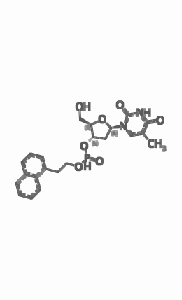 Cc1cn([C@H]2C[C@H](O[PH](=O)OCCc3cccc4ccccc34)[C@@H](CO)O2)c(=O)[nH]c1=O